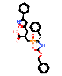 O=C(N[C@@H](Cc1ccccc1)P(=O)(O)CC(Cc1cc(-c2ccccc2)no1)C(=O)O)OCc1ccccc1